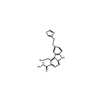 CCCNC(=O)c1ncc2[nH]c3ccc(OCc4cscn4)cc3c2c1COC